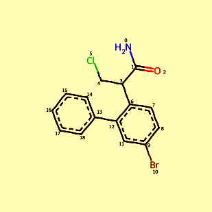 NC(=O)C(CCl)c1ccc(Br)cc1-c1ccccc1